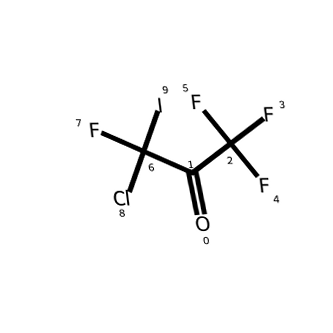 O=C(C(F)(F)F)C(F)(Cl)I